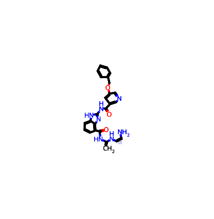 C=C(N/C=C\N)NC(=O)c1cccc2[nH]c(NC(=O)c3cncc(OCc4ccccc4)c3)nc12